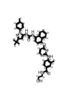 Cc1ccc(-n2nc(C(C)(C)C)cc2NC(=O)Nc2ccc(Oc3ccnc(Nc4ccc(C(=O)NCCO)cc4C)n3)c3ccccc23)cc1